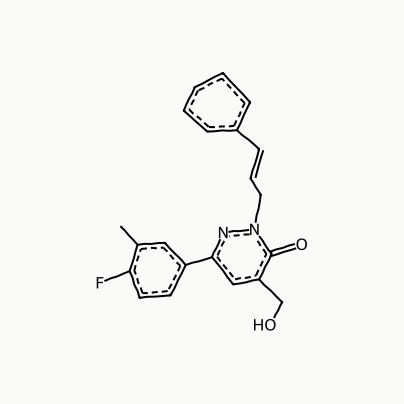 Cc1cc(-c2cc(CO)c(=O)n(C/C=C/c3ccccc3)n2)ccc1F